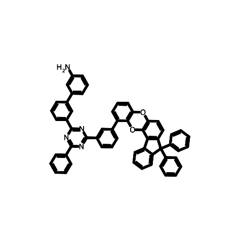 Nc1cccc(-c2cccc(-c3nc(-c4ccccc4)nc(-c4cccc(-c5cccc6c5Oc5c(ccc7c5-c5ccccc5C7(c5ccccc5)c5ccccc5)O6)c4)n3)c2)c1